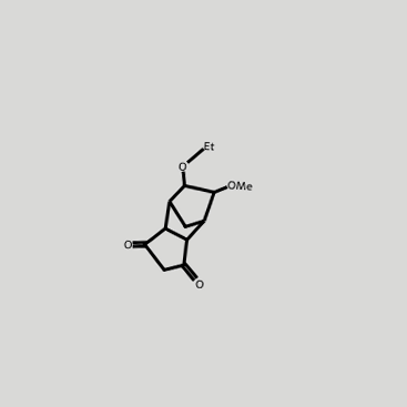 CCOC1C2CC(C1OC)C1C(=O)CC(=O)C21